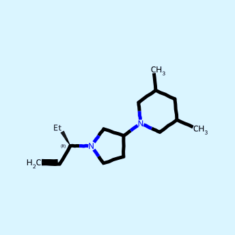 C=C[C@@H](CC)N1CCC(N2CC(C)CC(C)C2)C1